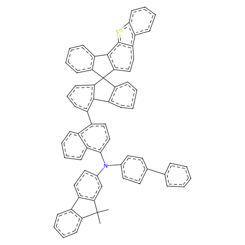 CC1(C)c2ccccc2-c2ccc(N(c3ccc(-c4ccccc4)cc3)c3ccc(-c4cccc5c4-c4ccccc4C54c5ccccc5-c5c4ccc4c5sc5ccccc54)c4ccccc34)cc21